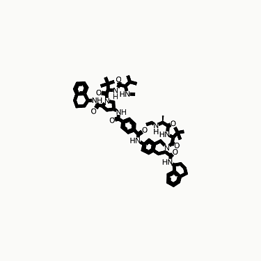 CCN[C@@H](C)C(=O)NC(C(=O)N1Cc2cc(NC(=O)c3ccc(C(=O)NC4CC(C(=O)NC5CCCc6ccccc65)N(C(=O)C(NC(=O)C(NC)C(C)C)C(C)(C)C)C4)cc3)ccc2CC1C(=O)NC1CCCc2ccccc21)C(C)(C)C